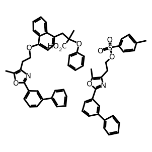 Cc1ccc(S(=O)(=O)OCCc2nc(-c3cccc(-c4ccccc4)c3)oc2C)cc1.Cc1oc(-c2cccc(-c3ccccc3)c2)nc1CCOc1ccc(CC(C)(Oc2ccccc2)C(=O)O)c2ccccc12